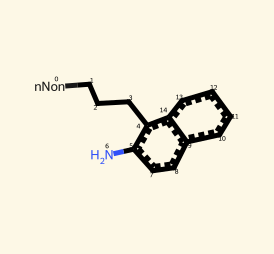 CCCCCCCCCCCCc1c(N)ccc2ccccc12